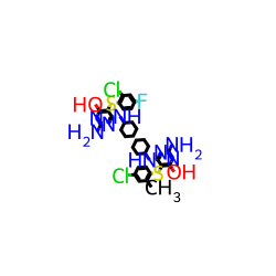 Cc1cc(Cl)ccc1Sc1c(O)nc(N)nc1NC1CCCCC1.Nc1nc(O)c(Sc2ccc(F)cc2Cl)c(NC2CCCCC2)n1